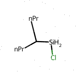 CCCC(CCC)[SiH2]Cl